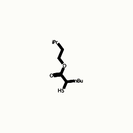 CCCCC(S)C(=O)OCCC(C)C